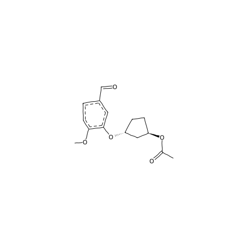 COc1ccc(C=O)cc1O[C@@H]1CC[C@@H](OC(C)=O)C1